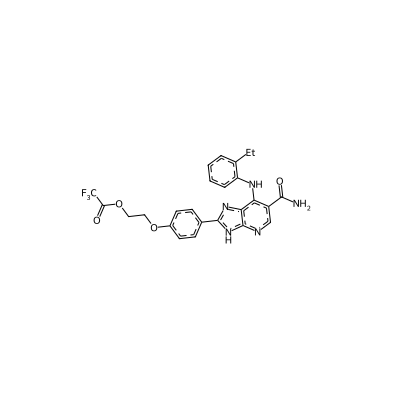 CCc1ccccc1Nc1c(C(N)=O)cnc2[nH]c(-c3ccc(OCCOC(=O)C(F)(F)F)cc3)nc12